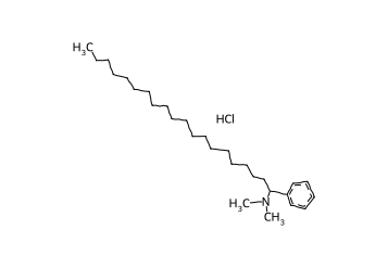 CCCCCCCCCCCCCCCCCCCC(c1ccccc1)N(C)C.Cl